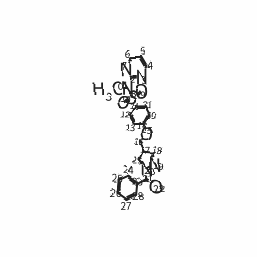 CN(c1ncccn1)S(=O)(=O)c1ccc(OCC2C=NN(C(=O)c3ccccc3)C2)cc1